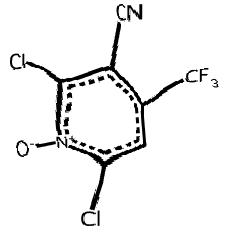 N#Cc1c(C(F)(F)F)cc(Cl)[n+]([O-])c1Cl